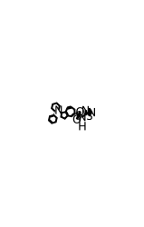 O=S(=O)(Nc1ncns1)C1=CC2=C(C#CC1)[C@@H](N1CCCC[C@H]1C1=CC=CCC1)CC2